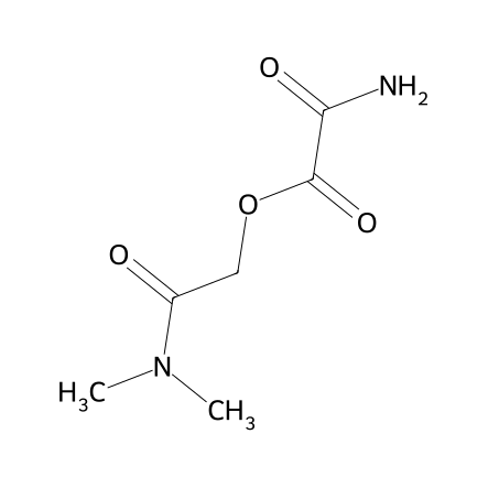 CN(C)C(=O)COC(=O)C(N)=O